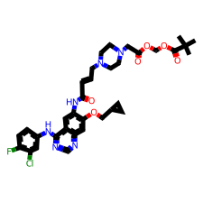 CC(C)(C)C(=O)OCOC(=O)CN1CCN(CC=CC(=O)Nc2cc3c(Nc4ccc(F)c(Cl)c4)ncnc3cc2OCC2CC2)CC1